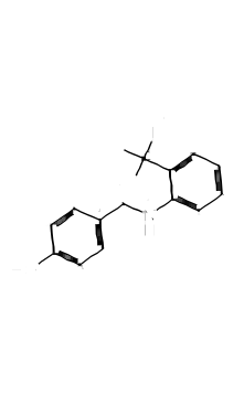 Oc1ccc(CNc2ccccc2C(F)(F)F)cc1